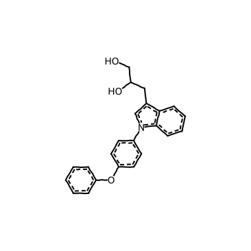 OCC(O)Cc1cn(-c2ccc(Oc3ccccc3)cc2)c2ccccc12